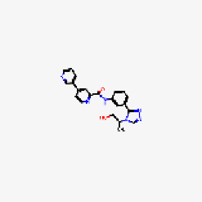 CC(CO)n1cnnc1-c1cccc(NC(=O)c2cc(-c3cccnc3)ccn2)c1